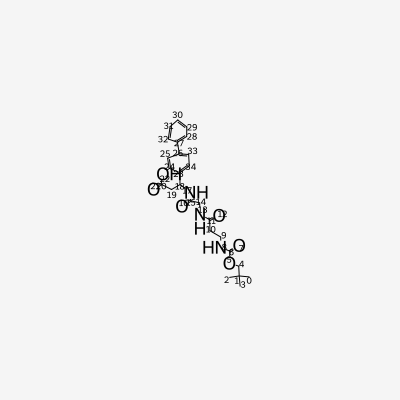 CC(C)(C)COC(=O)NCCC(=O)NCC(=O)NC(CC(=O)O)c1ccc(-c2ccccc2)cc1